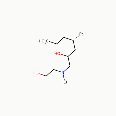 CC[C@@H](CCC(=O)O)CC(O)CN(CC)CCO